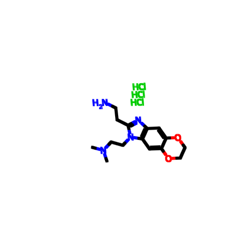 CN(C)CCn1c(CCN)nc2cc3c(cc21)OCCO3.Cl.Cl.Cl